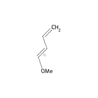 C=C/C=C/OC